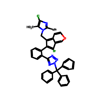 CCCc1nc(Cl)c(C(=O)O)n1Cc1c2ccocc-2c(Br)c1-c1ccccc1-c1nnn(C(c2ccccc2)(c2ccccc2)c2ccccc2)n1